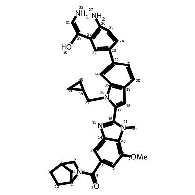 COc1cc(C(=O)N2CC3CCC2C3)cc2nc(-c3cc4ccc(-c5ccc(N)c(/C(O)=C\N)c5)cc4n3CC3CC3)n(C)c12